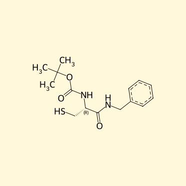 CC(C)(C)OC(=O)N[C@@H](CS)C(=O)NCc1ccccc1